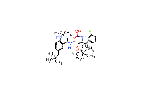 CC(C)(C)Cc1ccc2c(c1)[C@@H](NC[C@@H](O[Si](C)(C)C(C)(C)C)[C@H](Cc1cccc(F)c1)NC(=O)O)CC(C)(C)N2